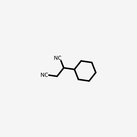 N#CCC(C#N)C1CCCCC1